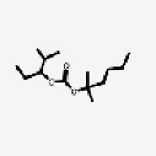 CCCCC(C)(C)OC(=O)OC(CC)C(C)C